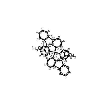 C=C(C)C1c2ccccc2-c2cccc(C(c3ccccc3)(c3ccccc3)c3cccc4c3C(C(=C)C)c3ccccc3-4)c21